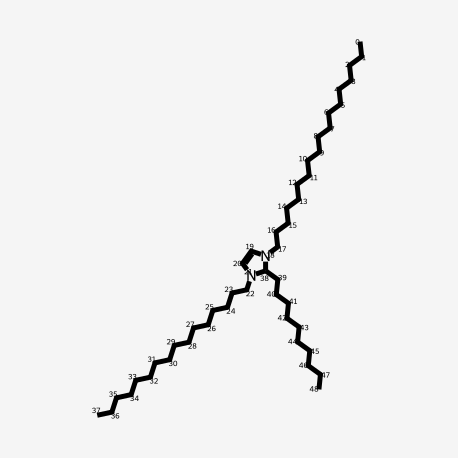 CCCCCCCCCCCCCCCCCCN1C=CN(CCCCCCCCCCCCCCCC)C1CCCCCCCCCC